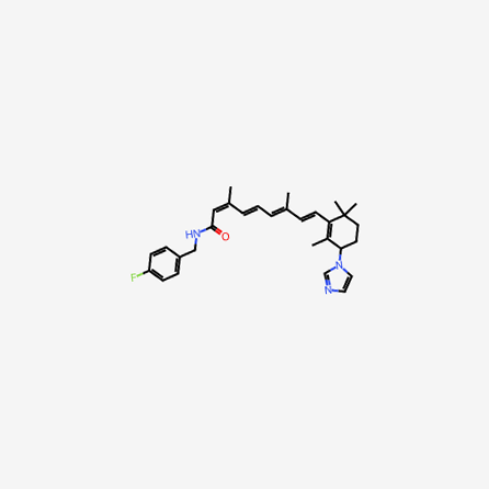 CC1=C(/C=C/C(C)=C/C=C/C(C)=C\C(=O)NCc2ccc(F)cc2)C(C)(C)CCC1n1ccnc1